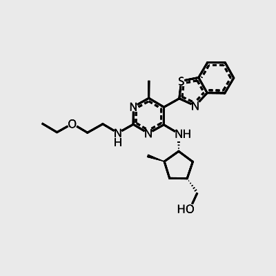 CCOCCNc1nc(C)c(-c2nc3ccccc3s2)c(N[C@@H]2C[C@H](CO)C[C@H]2C)n1